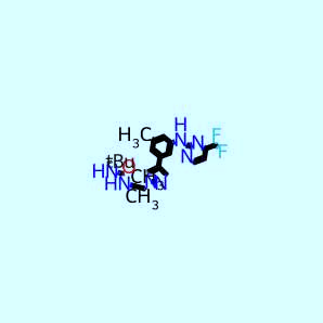 Cc1cc(Nc2nccc(C(F)F)n2)cc(-c2cnn(CC(C)(C)NC(=O)NC(C)(C)C)c2)c1